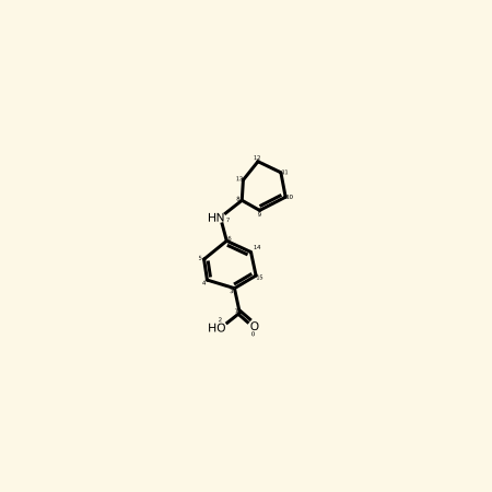 O=C(O)c1ccc(NC2C=CCCC2)cc1